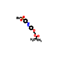 C=C(C)C(=O)OCCOc1ccc(N=Nc2ccc(S(=O)(=O)C[C@H](C)CC)cc2)cc1